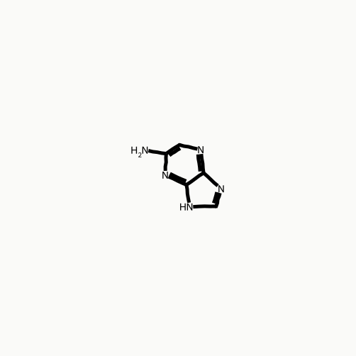 Nc1cnc2nc[nH]c2n1